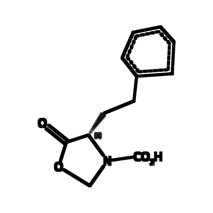 O=C1OCN(C(=O)O)[C@H]1CCc1ccccc1